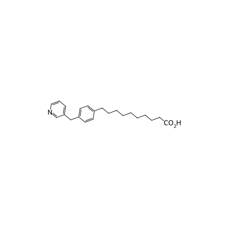 O=C(O)CCCCCCCCCc1ccc(Cc2cccnc2)cc1